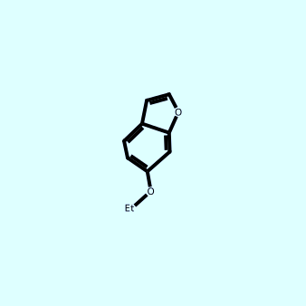 CCOc1ccc2ccoc2c1